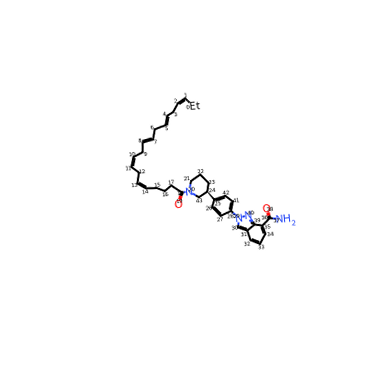 CC/C=C\CC=CCC=CC/C=C\C/C=C\CCCC(=O)N1CCC[C@@H](c2ccc(-n3cc4cccc(C(N)=O)c4n3)cc2)C1